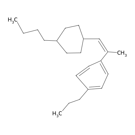 CCCCC1CCC(C=C(C)c2ccc(CCC)cc2)CC1